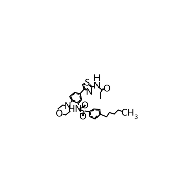 CCCCCc1ccc(S(=O)(=O)Nc2cc(-c3csc(NC(=O)I)n3)ccc2N2CCOCC2)cc1